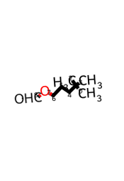 CC(C)(C)CCCO[C]=O